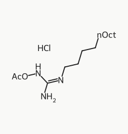 CCCCCCCCCCCCN=C(N)NOC(C)=O.Cl